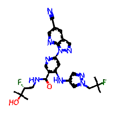 CC(C)(F)Cn1cc(Nc2cc(-n3ncc4cc(C#N)cnc43)ncc2C(=O)NC[C@@H](F)C(C)(C)O)cn1